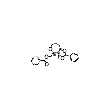 O=C(OC[C@H]1OCCC[C@@H](OC(=O)c2ccccc2)[C@@H]1F)c1ccccc1